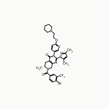 Cc1cc(C)n(-c2nc3c(c(=O)n2-c2ccc(OCCN4CCCCC4)nc2)C[C@@H](C)N(C(=O)c2ccc(Br)c(C(F)(F)F)c2)C3)n1